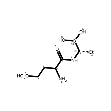 CC[C@H](NC(=O)C(N)CCC(=O)O)B(O)O